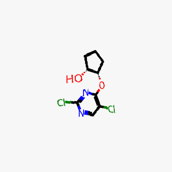 O[C@@H]1CCC[C@@H]1Oc1nc(Cl)ncc1Cl